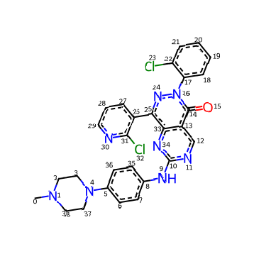 CN1CCN(c2ccc(Nc3ncc4c(=O)n(-c5ccccc5Cl)nc(-c5cccnc5Cl)c4n3)cc2)CC1